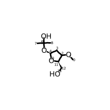 COC1C[C@H](OC(C)(C)O)O[C@@H]1CO